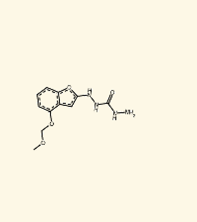 COCOc1cccc2oc(NNC(=O)NN)cc12